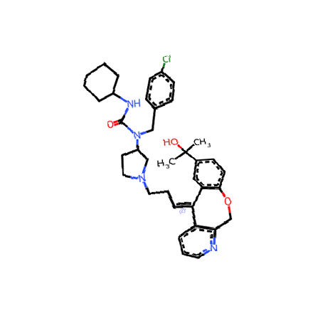 CC(C)(O)c1ccc2c(c1)/C(=C\CCN1CCC(N(Cc3ccc(Cl)cc3)C(=O)NC3CCCCC3)C1)c1cccnc1CO2